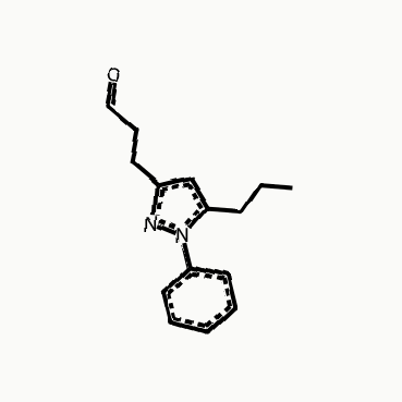 CCCc1cc(CCC=O)nn1-c1ccccc1